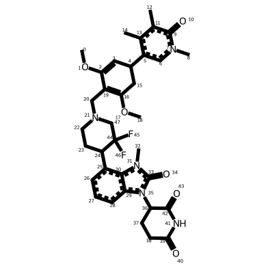 COC1=CC(c2cn(C)c(=O)c(C)c2C)CC(OC)=C1CN1CCC(c2cccc3c2n(C)c(=O)n3C2CCC(=O)NC2=O)C(F)(F)C1